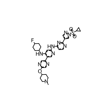 CN1CCC(Oc2cnc(-c3cnc(Nc4ccnc(-c5cnn(S(=O)(=O)C6CC6)c5)n4)cc3NC3CCC(F)CC3)cn2)CC1